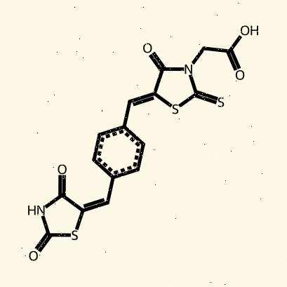 O=C(O)CN1C(=O)C(=Cc2ccc(C=C3SC(=O)NC3=O)cc2)SC1=S